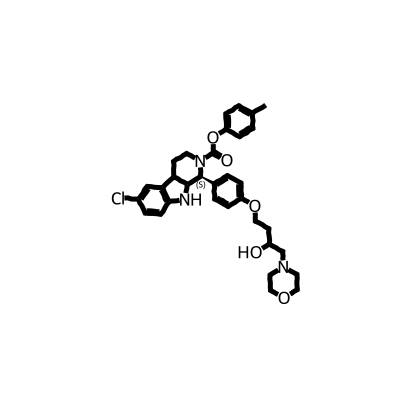 Cc1ccc(OC(=O)N2CCC3c4cc(Cl)ccc4NC3[C@@H]2c2ccc(OCCC(O)CN3CCOCC3)cc2)cc1